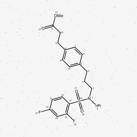 CCCN(CCCc1ccc(CCC(=O)OC)cc1)S(=O)(=O)c1ccc(F)cc1F